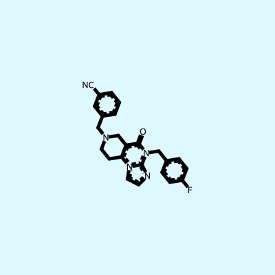 N#Cc1cccc(CN2CCc3c(c(=O)n(Cc4ccc(F)cc4)c4nccn34)C2)c1